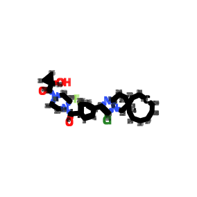 O=C(c1ccc(-c2nc3n(c2Cl)CC2(CCCCCCCCC2)CC3)cc1F)N1CCN(C(=O)C2(O)CC2)CC1